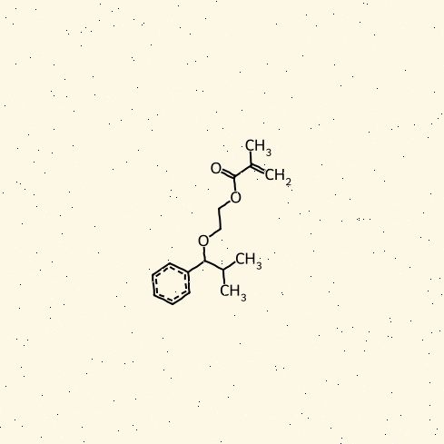 C=C(C)C(=O)OCCOC(c1ccccc1)C(C)C